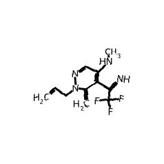 C=CCN1N=CC(NC)=C(C(=N)C(F)(F)F)C1=C